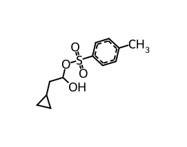 Cc1ccc(S(=O)(=O)OC(O)CC2CC2)cc1